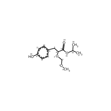 COCOC(Cc1ccc(O)cc1)C(=O)OC(C)C